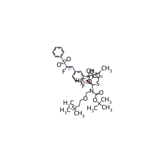 COC(=O)[C@@]12SC(N(COCC[Si](C)(C)C)C(=O)OC(C)(C)C)=N[C@](C)(c3cc(/C=C(\F)S(=O)(=O)c4ccccc4)ccc3F)C1=C2C